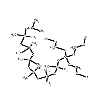 CCO[SiH2]O[Si](O[SiH2]OCC)(O[SiH2]OCC)O[Si](C)(C)O[Si](C)(C)O[Si](C)(C)O[Si](C)(C)O[Si](C)(C)O[Si](C)(C)O[SiH](C)C